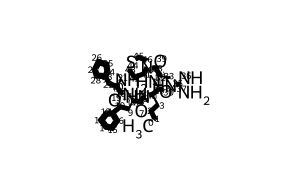 CCCC[C@@H](NC(=O)[C@@H](CCc1ccccc1)NC(=O)[C@H](N)Cc1ccccc1)C(=O)N[C@H](CNC(=N)N)C(=O)N1CCCSCC1